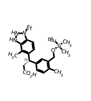 CCN1NNc2c1ccc([C@@H](CC(=O)O)c1ccc(C)c(CO[Si](C)(C)C(C)(C)C)c1)c2C